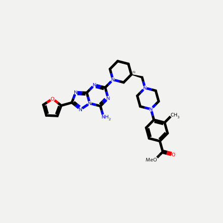 COC(=O)c1ccc(N2CCN(C[C@@H]3CCCN(c4nc(N)n5nc(-c6ccco6)nc5n4)C3)CC2)c(C)c1